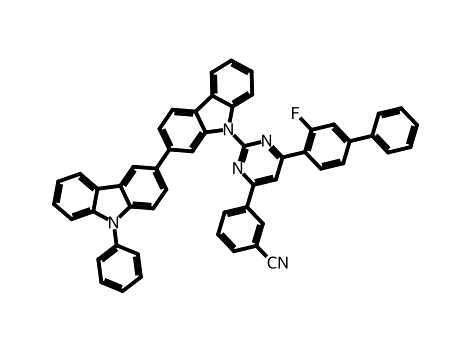 N#Cc1cccc(-c2cc(-c3ccc(-c4ccccc4)cc3F)nc(-n3c4ccccc4c4ccc(-c5ccc6c(c5)c5ccccc5n6-c5ccccc5)cc43)n2)c1